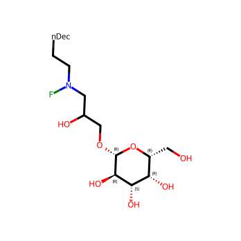 CCCCCCCCCCCCN(F)CC(O)CO[C@@H]1O[C@H](CO)[C@H](O)[C@H](O)[C@H]1O